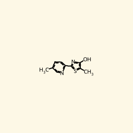 Cc1ccc(-c2nc(O)c(C)s2)nc1